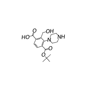 CC(C)(C)OC(=O)c1ccc(C(=O)O)c(CO)c1N1CCNCC1